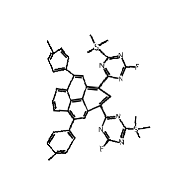 Cc1ccc(-c2cc3c(-c4nc(F)nc(S(C)(C)C)n4)cc(-c4nc(F)nc(S(C)(C)C)n4)c4cc(-c5ccc(C)cc5)c5cccc2c5c34)cc1